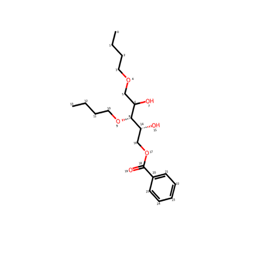 CCCCOCC(O)[C@@H](OCCCC)[C@H](O)COC(=O)c1ccccc1